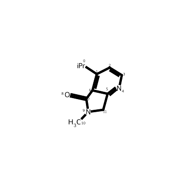 CC(C)c1ccnc2c1C(=O)N(C)C2